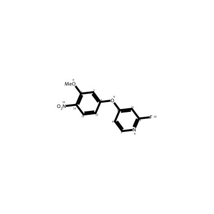 COc1cc(Oc2ccnc(F)c2)ccc1[N+](=O)[O-]